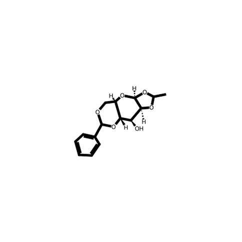 CC1O[C@@H]2O[C@@H]3COC(c4ccccc4)O[C@H]3[C@H](O)[C@@H]2O1